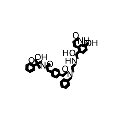 O=C(Cc1ccc(CC(=O)N2CC(C(=O)O)(c3ccccc3)C2)cc1)N(CCCNCC(O)c1ccc(O)c2[nH]c(=O)ccc12)Cc1ccccc1